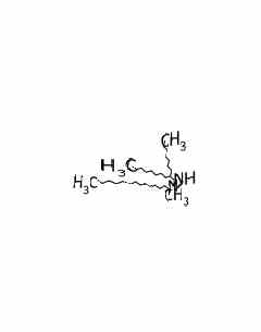 CCCCCCCCCCCCCCC(C)[n+]1cc[nH]c1C(CCCCCCC)CCCCCCCC